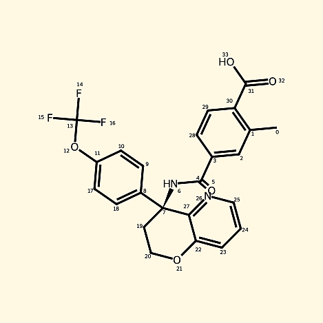 Cc1cc(C(=O)N[C@]2(c3ccc(OC(F)(F)F)cc3)CCOc3cccnc32)ccc1C(=O)O